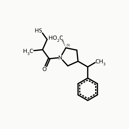 CC(CS)C(=O)N1CC(C(C)c2ccccc2)C[C@H]1C(=O)O